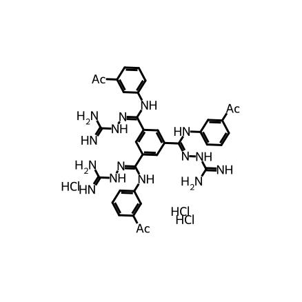 CC(=O)c1cccc(NC(=NNC(=N)N)c2cc(C(=NNC(=N)N)Nc3cccc(C(C)=O)c3)cc(C(=NNC(=N)N)Nc3cccc(C(C)=O)c3)c2)c1.Cl.Cl.Cl